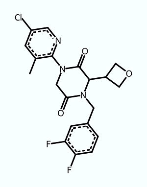 Cc1cc(Cl)cnc1N1CC(=O)N(Cc2ccc(F)c(F)c2)C(C2COC2)C1=O